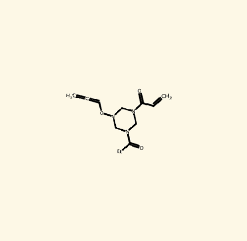 C=C=CON1CN(C(=O)C=C)CN(C(=O)CC)C1